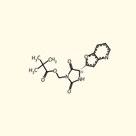 CC(C)(C)C(=O)OCN1C(=O)N[C@@H](c2cc3ncccc3o2)C1=O